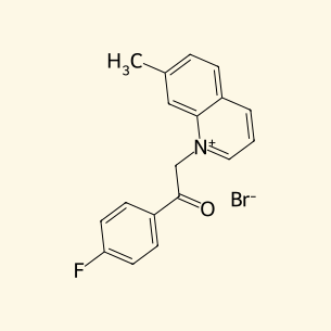 Cc1ccc2ccc[n+](CC(=O)c3ccc(F)cc3)c2c1.[Br-]